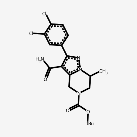 CC1CN(C(=O)OC(C)(C)C)Cc2c(C(N)=O)c(-c3ccc(Cl)c(Cl)c3)nn21